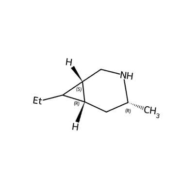 CCC1[C@H]2C[C@@H](C)NC[C@@H]12